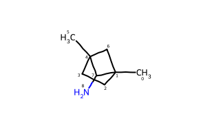 CC12CCC(C)(C1)C2N